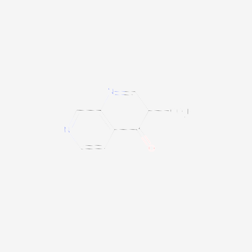 CCOC(=O)C1C=Nc2cnccc2C1=O